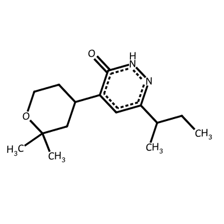 CCC(C)c1cc(C2CCOC(C)(C)C2)c(=O)[nH]n1